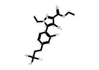 CCOC(=O)c1nn(CC)c(-c2ccc(CCC(F)(F)F)cc2F)c1Cl